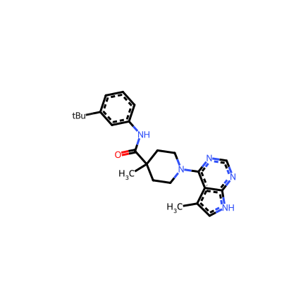 Cc1c[nH]c2ncnc(N3CCC(C)(C(=O)Nc4cccc(C(C)(C)C)c4)CC3)c12